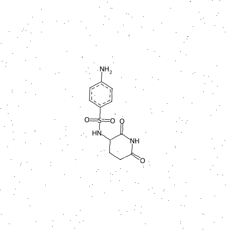 Nc1ccc(S(=O)(=O)NC2CCC(=O)NC2=O)cc1